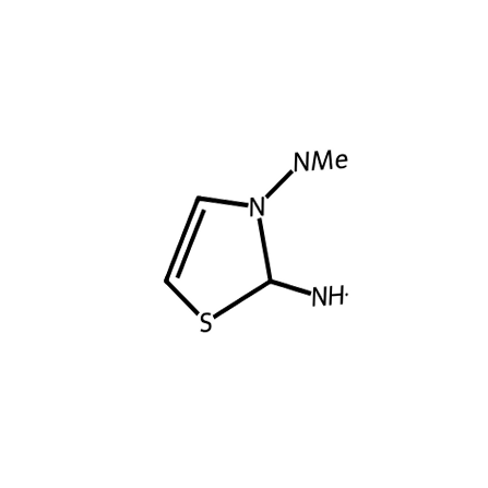 CNN1C=CSC1[NH]